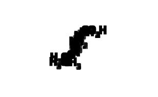 C[Si](C)(C)CCOCn1ncc2cc(-c3ccc(CNC(=O)O)nc3)c(N)cc21